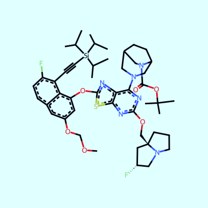 COCOc1cc(Oc2nc3c(N4CC5CCC(C4)N(C(=O)OC(C)(C)C)C5)nc(OC[C@@]45CCCN4C[C@H](F)C5)nc3s2)c2c(C#C[Si](C(C)C)(C(C)C)C(C)C)c(F)ccc2c1